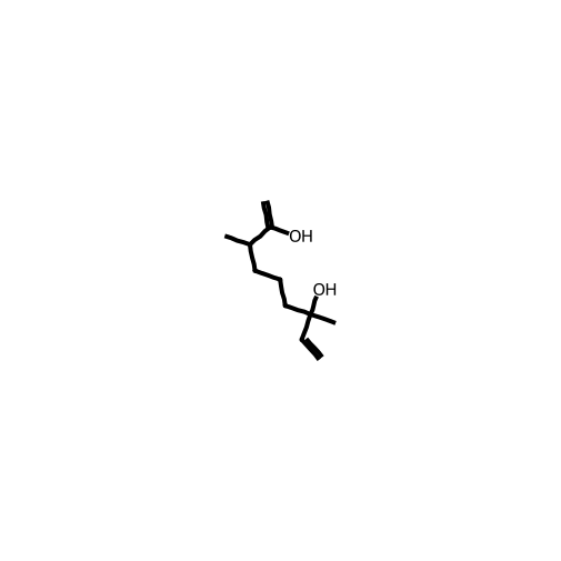 C=CC(C)(O)CCCC(C)C(=C)O